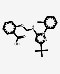 Cc1ccccc1-n1nc(C(C)(C)C)cc1NCOc1ccccc1C(=O)O